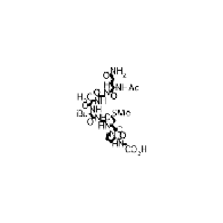 CC[C@H](C)[C@H](NC(=O)[C@H](C)NC(=O)CNC(=O)[C@H](CCC(N)=O)NC(C)=O)C(=O)NCC(=O)N[C@@H](CCSC)C(=O)N1CCC[C@H]1C(=O)NCC(=O)O